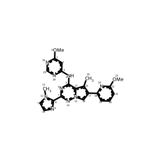 COc1cc(Nc2nc(-c3nccn3C)nn3cc(-c4cccc(OC)n4)c(C)c23)ncn1